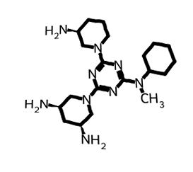 CN(c1nc(N2CCC[C@H](N)C2)nc(N2C[C@H](N)C[C@H](N)C2)n1)C1CCCCC1